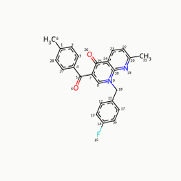 Cc1ccc(C(=O)c2cn(Cc3ccc(F)cc3)c3nc(C)ccc3c2=O)cc1